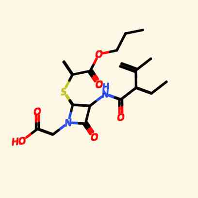 C=C(C)C(CC)C(=O)NC1C(=O)N(CC(=O)O)C1SC(C)C(=O)OCCC